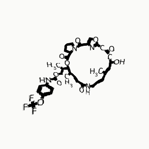 CC1=C\C(O)CC(=O)Cc2nc(co2)C(=O)N2CCCC2C(=O)OC(C(C)COC(=O)Nc2ccc(OC(F)(F)F)cc2)C(C)/C=C/C(=O)NC\C=C\1